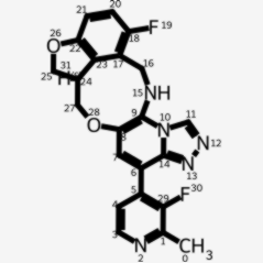 Cc1nccc(-c2cc3c(n4cnnc24)NCc2c(F)ccc4c2[C@@H](CO4)CO3)c1F